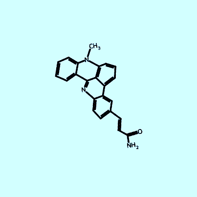 CN1c2ccccc2-c2nc3ccc(C=CC(N)=O)cc3c3cccc1c23